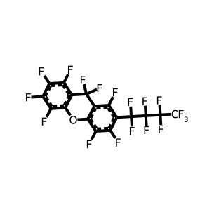 Fc1c(F)c(F)c2c(c1F)Oc1c(F)c(F)c(C(F)(F)C(F)(F)C(F)(F)C(F)(F)F)c(F)c1C2(F)F